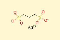 O=S(=O)([O-])CCCS(=O)(=O)[O-].[Ag+2]